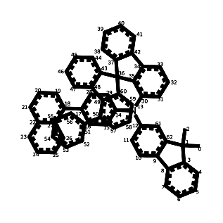 CC1(C)c2ccccc2-c2ccc(N(c3ccc(-c4cccc5ccccc45)cc3)c3cccc4c3C3(c5ccccc5-4)c4ccccc4-c4c(-c5ccccc5)cccc43)cc21